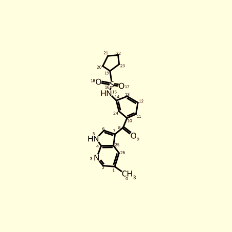 Cc1cnc2[nH]cc(C(=O)c3cccc(NS(=O)(=O)C4CCCC4)c3)c2c1